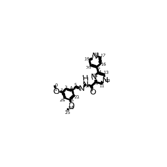 COc1cc(/C=N/NC(=O)c2cncc(-c3ccncc3)n2)cc(OC)c1